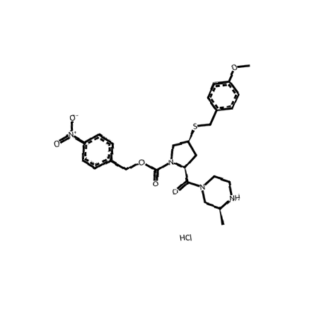 COc1ccc(CS[C@H]2C[C@@H](C(=O)N3CCN[C@@H](C)C3)N(C(=O)OCc3ccc([N+](=O)[O-])cc3)C2)cc1.Cl